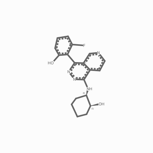 Oc1cccc(F)c1-c1nnc(N[C@@H]2CCCC[C@@H]2O)c2ccncc12